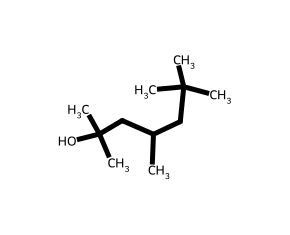 CC(CC(C)(C)C)CC(C)(C)O